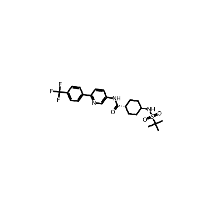 CC(C)(C)S(=O)(=O)N[C@H]1CC[C@H](C(=O)Nc2ccc(-c3ccc(C(F)(F)F)cc3)nc2)CC1